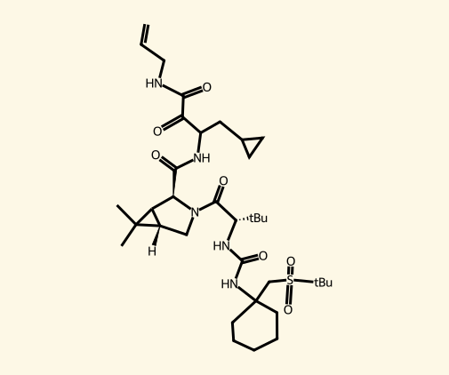 C=CCNC(=O)C(=O)C(CC1CC1)NC(=O)[C@@H]1C2[C@H](CN1C(=O)[C@@H](NC(=O)NC1(CS(=O)(=O)C(C)(C)C)CCCCC1)C(C)(C)C)C2(C)C